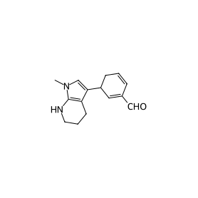 Cn1cc(C2C=C(C=O)C=CC2)c2c1NCCC2